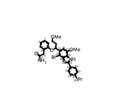 COCCC(Oc1ccccc1CC(N)=O)c1cc(OC)c2[nH]c(-c3ccc(C(C)C)cc3)nc2c1Br